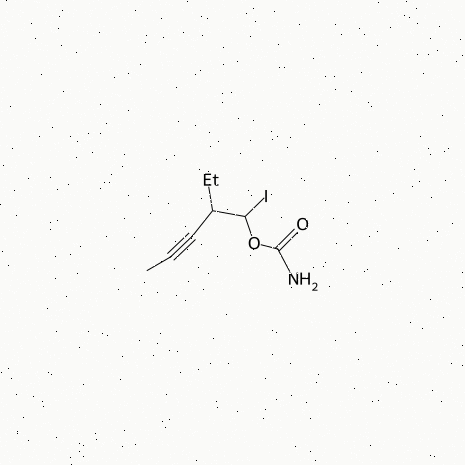 CC#CC(CC)C(I)OC(N)=O